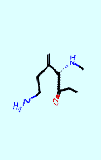 C=C(CCN)[C@H](NC)C(C)=O